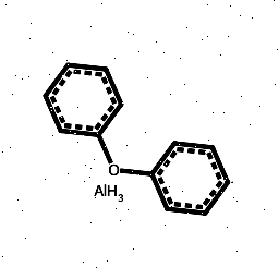 [AlH3].[c]1ccc(Oc2ccccc2)cc1